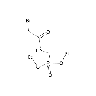 CCOP(=O)(CNC(=O)CBr)OCC